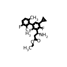 CCOC(=O)C[C@H](N)c1c(F)c(-c2c(C)ccc(F)c2C)cc(C2CC2)c1F